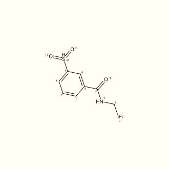 CC(C)CNC(=O)c1cccc([SH](=O)=O)c1